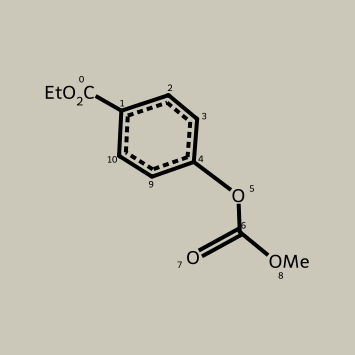 CCOC(=O)c1ccc(OC(=O)OC)cc1